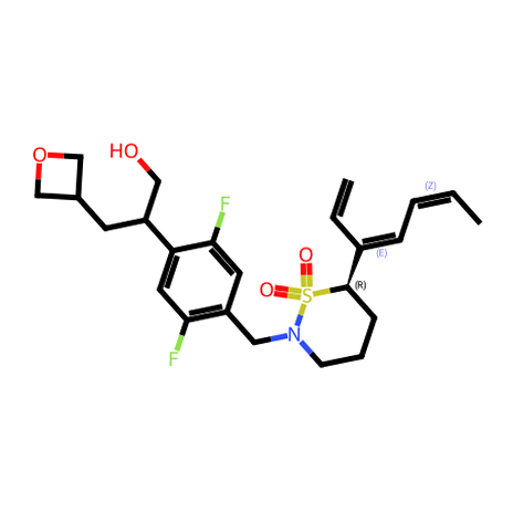 C=C/C(=C\C=C/C)[C@H]1CCCN(Cc2cc(F)c(C(CO)CC3COC3)cc2F)S1(=O)=O